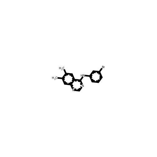 Cc1cc2ncnc(Nc3cccc(Br)c3)c2cc1C